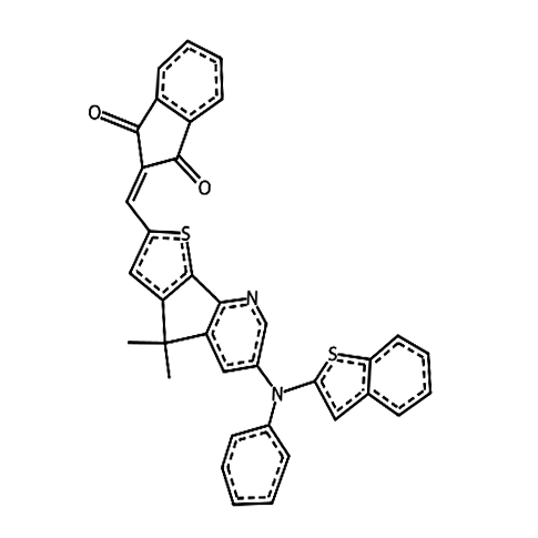 CC1(C)c2cc(N(c3ccccc3)c3cc4ccccc4s3)cnc2-c2sc(C=C3C(=O)c4ccccc4C3=O)cc21